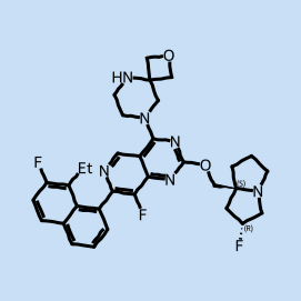 CCc1c(F)ccc2cccc(-c3ncc4c(N5CCNC6(COC6)C5)nc(OC[C@@]56CCCN5C[C@H](F)C6)nc4c3F)c12